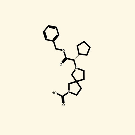 O=C(OCc1ccccc1)[C@H](C1CCCC1)N1CCC2(CCN(C(=O)O)C2)C1